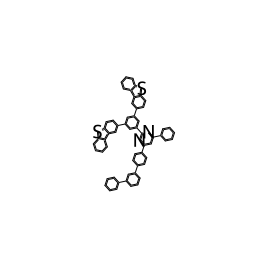 c1ccc(-c2cccc(-c3ccc(-c4cc(-c5ccccc5)nc(-c5cc(-c6ccc7sc8ccccc8c7c6)cc(-c6ccc7sc8ccccc8c7c6)c5)n4)cc3)c2)cc1